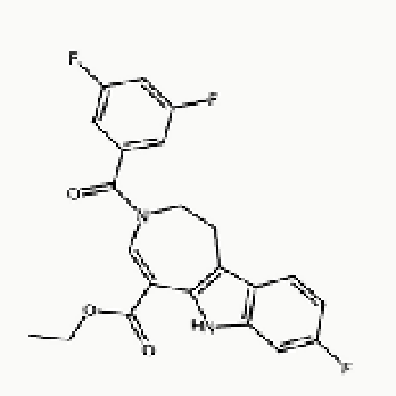 CCOC(=O)C1=CN(C(=O)c2cc(F)cc(F)c2)CCc2c1[nH]c1cc(F)ccc21